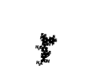 C=C[C@@H](O)c1cnc(N2CCN(c3nc4cc(C(F)(F)F)cc(-c5cc(F)c(F)c(F)c5)c4[nH]3)[C@H](C)C2)c(C(F)(F)F)c1